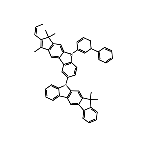 C/C=C\C1=C(C)c2cc3c4cc(-n5c6ccccc6c6cc7c(cc65)C(C)(C)c5ccccc5-7)ccc4n(C4=CC(c5ccccc5)CC=C4)c3cc2C1(C)C